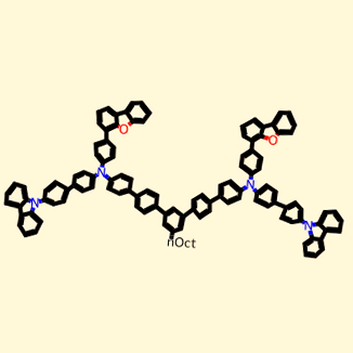 CCCCCCCCc1cc(-c2ccc(-c3ccc(N(c4ccc(-c5ccc(-n6c7ccccc7c7ccccc76)cc5)cc4)c4ccc(-c5cccc6c5oc5ccccc56)cc4)cc3)cc2)cc(-c2ccc(-c3ccc(N(c4ccc(-c5ccc(-n6c7ccccc7c7ccccc76)cc5)cc4)c4ccc(-c5cccc6c5oc5ccccc56)cc4)cc3)cc2)c1